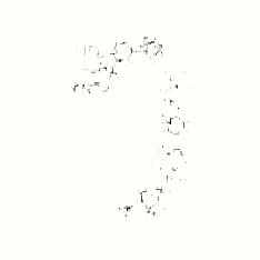 CC1(C)[C@H](NC(=O)c2ccc(N3CCN(CCCc4cn(-c5ccc6c(c5)C(=O)N(C5CCC(=O)NC5=O)C6O)nn4)CC3)nc2)C(C)(C)[C@H]1Oc1ccc(C#N)c(Cl)c1